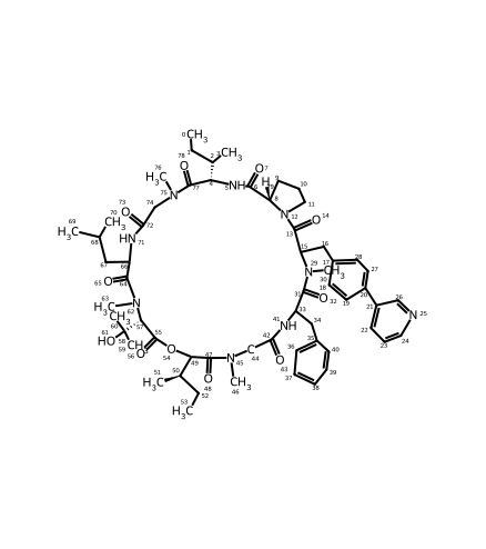 CCC(C)[C@@H]1NC(=O)[C@@H]2CCCN2C(=O)C(Cc2ccc(-c3cccnc3)cc2)N(C)C(=O)C(Cc2ccccc2)NC(=O)CN(C)C(=O)C([C@H](C)CC)OC(=O)[C@H](C(C)(C)O)N(C)C(=O)C(CC(C)C)NC(=O)CN(C)C1=O